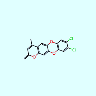 C=C1C=C(C)c2cc3c(cc2O1)Oc1cc(Cl)c(Cl)cc1O3